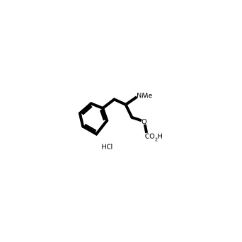 CNC(COC(=O)O)Cc1ccccc1.Cl